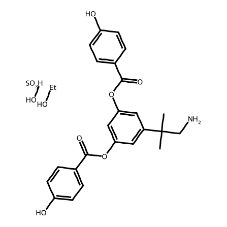 CC(C)(CN)c1cc(OC(=O)c2ccc(O)cc2)cc(OC(=O)c2ccc(O)cc2)c1.CCO.O=S(=O)(O)O